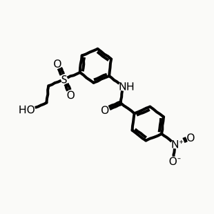 O=C(Nc1cccc(S(=O)(=O)CCO)c1)c1ccc([N+](=O)[O-])cc1